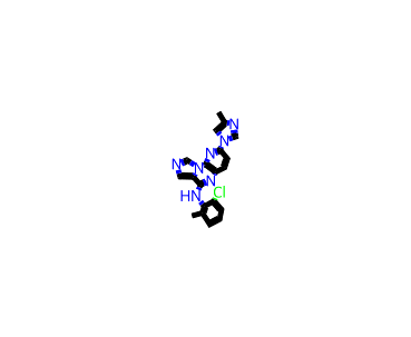 Cc1cn(-c2ccc3nc(Nc4c(C)cccc4Cl)c4cncn4c3n2)cn1